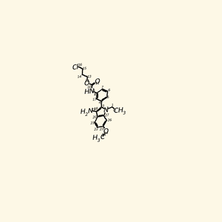 CCn1c(-c2cccc(NC(=O)OCCCCl)c2)c(N)c2ccc(OC)cc21